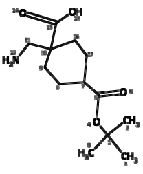 CC(C)(C)OC(=O)C1CCC(CN)(C(=O)O)CC1